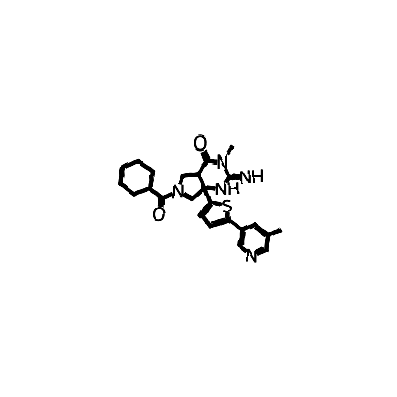 Cc1cncc(-c2ccc(C34CN(C(=O)C5CCCCC5)CC3C(=O)N(C)C(=N)N4)s2)c1